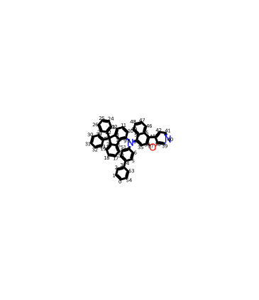 c1ccc(-c2ccc(N(c3cccc4c3-c3ccccc3C4(c3ccccc3)c3ccccc3)c3cc4oc5cnccc5c4c4ccccc34)cc2)cc1